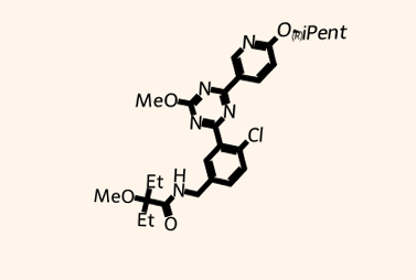 CCC[C@@H](C)Oc1ccc(-c2nc(OC)nc(-c3cc(CNC(=O)C(CC)(CC)OC)ccc3Cl)n2)cn1